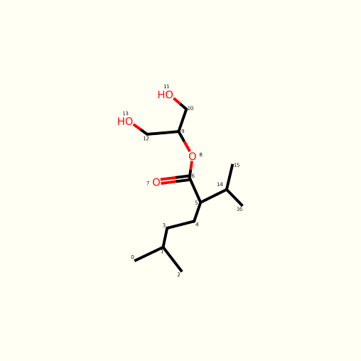 CC(C)CCC(C(=O)OC(CO)CO)C(C)C